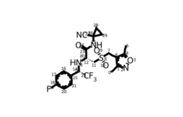 Cc1noc(C)c1CS(=O)(=O)C[C@H](N[C@@H](c1ccc(F)cc1)C(F)(F)F)C(=O)NC1(C#N)CC1